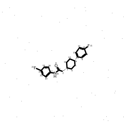 O=C(C[C@H]1CC[C@@H](c2ccc(F)cc2)CC1)Nc1ccc(F)cc1